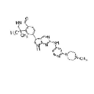 CN1CCN(c2cc(Nc3ncc4c(-c5ccc6c(c5)C(C)(C)CNC6=O)c[nH]c4n3)ccn2)CC1